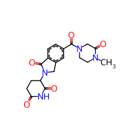 CN1CCN(C(=O)c2ccc3c(c2)CN(C2CCC(=O)NC2=O)C3=O)CC1=O